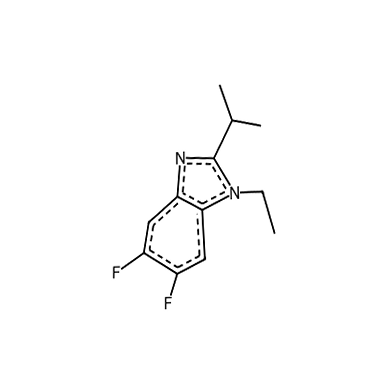 CCn1c(C(C)C)nc2cc(F)c(F)cc21